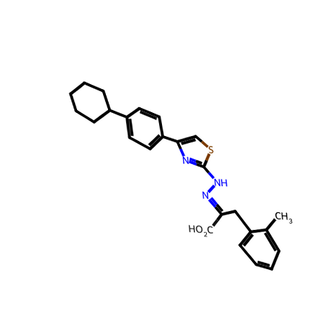 Cc1ccccc1C/C(=N\Nc1nc(-c2ccc(C3CCCCC3)cc2)cs1)C(=O)O